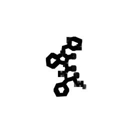 NC(=O)[C@@H](NC(=O)n1c(=O)n(Cc2cnccn2)c2ccccc21)c1ccccc1